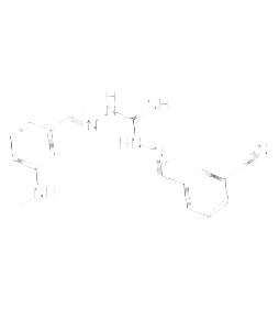 CNc1cccc(/C=N/NC(=N)N/N=C/c2cccc(C#N)c2)c1